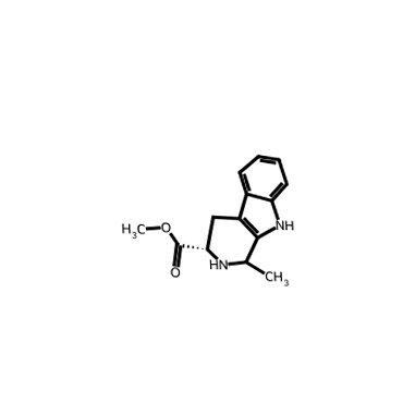 COC(=O)[C@@H]1Cc2c([nH]c3ccccc23)C(C)N1